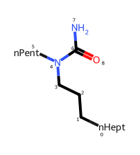 CCCCCCCCCCN(CCCCC)C(N)=O